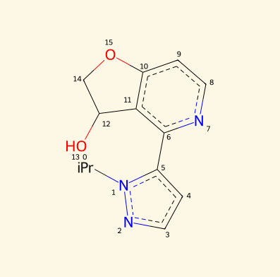 CC(C)n1nccc1-c1nccc2c1C(O)CO2